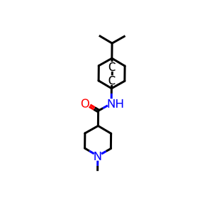 CC(C)C12CCC(NC(=O)C3CCN(C)CC3)(CC1)CC2